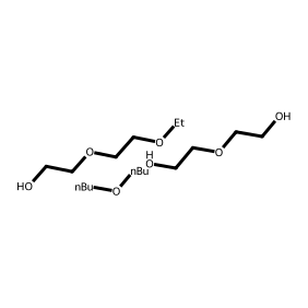 CCCCOCCCC.CCOCCOCCO.OCCOCCO